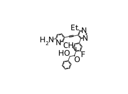 CCc1ncnc(-c2ccc(C(=O)C(O)c3ccccc3)c(F)c2)c1C#Cc1ccc(N)nc1C